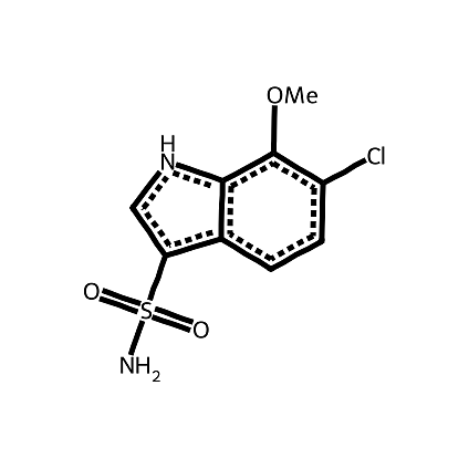 COc1c(Cl)ccc2c(S(N)(=O)=O)c[nH]c12